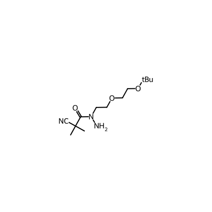 CC(C)(C)OCCOCCN(N)C(=O)C(C)(C)C#N